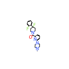 CN1CCN(c2cccc(C(=O)N3CCC(F)(c4ccccc4F)CC3)n2)CC1